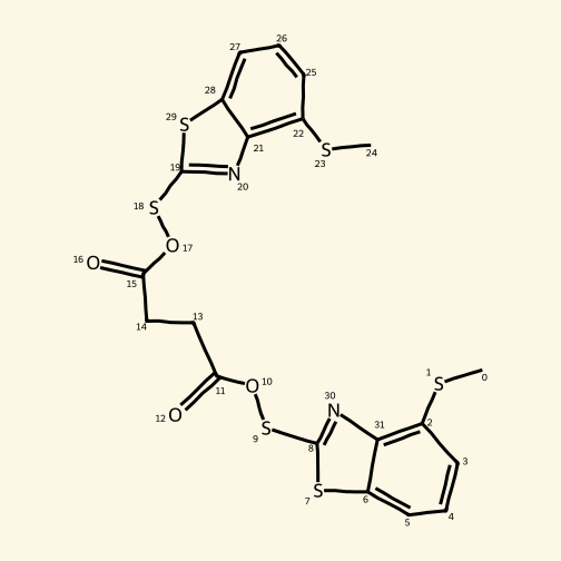 CSc1cccc2sc(SOC(=O)CCC(=O)OSc3nc4c(SC)cccc4s3)nc12